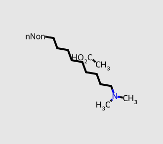 CC(=O)O.CCCCCCCCCCCCCCCCCCN(C)C